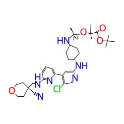 C[C@@H](COC(C)(C)C(=O)OC(C)(C)C)N[C@H]1CC[C@H](Nc2cc(-c3cccc(NCC4(C#N)CCOCC4)n3)c(Cl)cn2)CC1